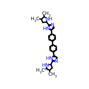 CC1CC(c2ncc(-c3ccc(-c4ccc(-c5cnc(C6CC(C)[C@H](C)N6)[nH]5)cc4)cc3)[nH]2)NC1C